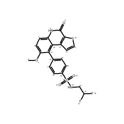 COc1ccc2[nH]c(=O)c3sccc3c2c1-c1ccc(S(=O)(=O)NCC(F)F)cc1